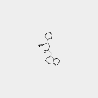 N#C[C@H](CC(=O)Sc1cccc2ccccc12)c1ccccc1